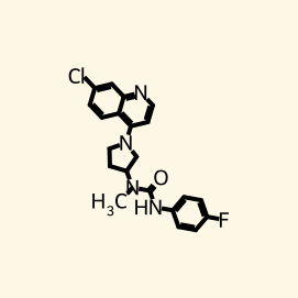 CN(C(=O)Nc1ccc(F)cc1)C1CCN(c2ccnc3cc(Cl)ccc23)C1